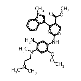 COOc1cc(N(C)CCN(C)C)c(N)cc1Nc1ncc(C(=O)OC)c(-c2cn(C)c3ccccc23)n1